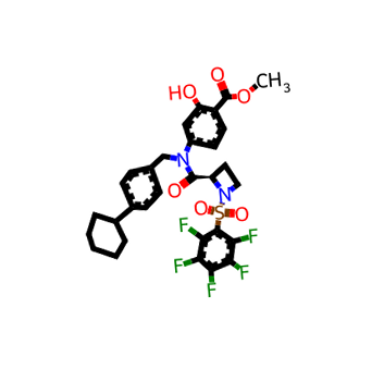 COC(=O)c1ccc(N(Cc2ccc(C3CCCCC3)cc2)C(=O)[C@H]2CCN2S(=O)(=O)c2c(F)c(F)c(F)c(F)c2F)cc1O